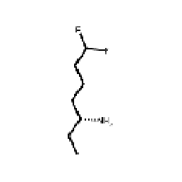 CC[C@@H](N)CCCC(F)F